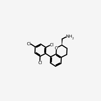 NC[C@H]1CCc2cccc(-c3c(Cl)cc(Cl)cc3Cl)c2O1